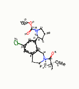 CO[C@@](C)(C(=O)N1CCc2cc(Cl)cc([C@@H]3CCCN3C(=O)OC(C)(C)C)c2C1)C(F)(F)F